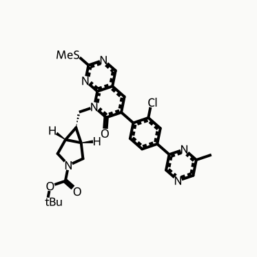 CSc1ncc2cc(-c3ccc(-c4cncc(C)n4)cc3Cl)c(=O)n(C[C@@H]3[C@@H]4CN(C(=O)OC(C)(C)C)C[C@@H]43)c2n1